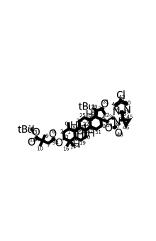 CC1C[C@H](OC(=O)CC(C)(C)C(=O)OC(C)(C)C)C(C)(C)[C@@H]2CC[C@]3(C)[C@H](CC[C@@H]4C5=C(C(C)(C)C)C(=O)C[C@]5([C@H]5CN(C6(c7ncc(Cl)cn7)CC6)C(=O)O5)CC[C@H]43)[C@@H]12